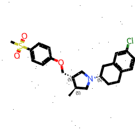 C[C@@H]1CN([C@H]2CCc3ccc(Cl)cc3C2)C[C@H]1COc1ccc(S(C)(=O)=O)cc1